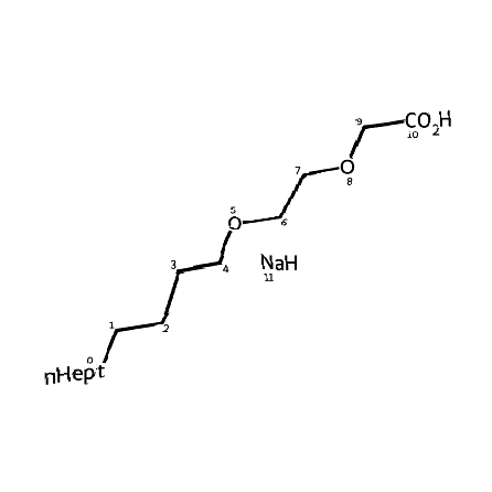 CCCCCCCCCCCOCCOCC(=O)O.[NaH]